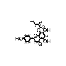 CCC=C(C)C(=O)Oc1c(O)cc(O)c2c1OC(c1ccc(O)cc1)CC2=O